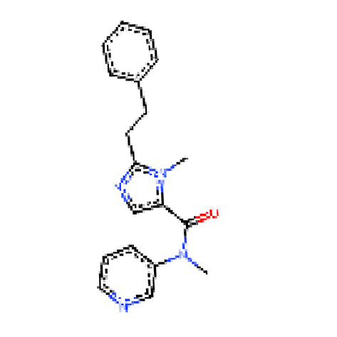 CN(C(=O)c1cnc(CCc2ccccc2)n1C)c1cccnc1